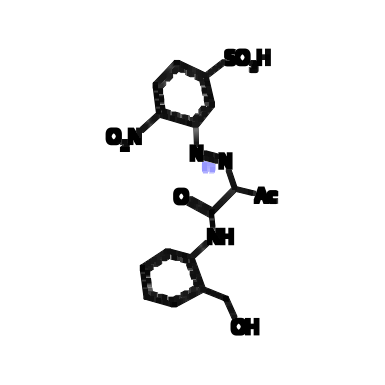 CC(=O)C(/N=N/c1cc(S(=O)(=O)O)ccc1[N+](=O)[O-])C(=O)Nc1ccccc1CO